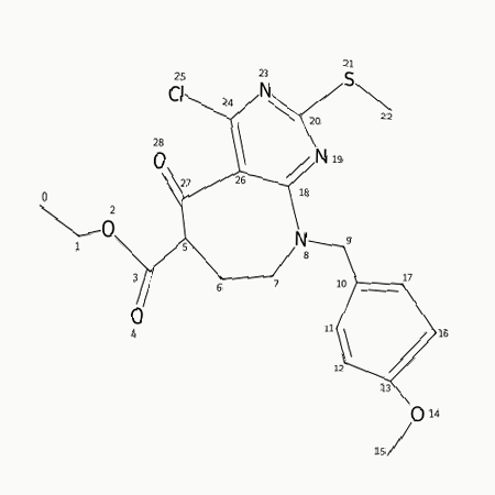 CCOC(=O)C1CCN(Cc2ccc(OC)cc2)c2nc(SC)nc(Cl)c2C1=O